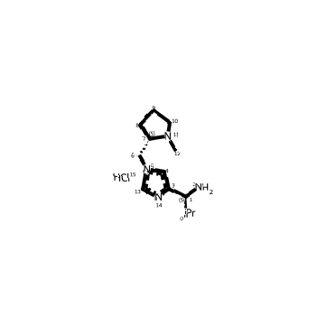 CC(C)[C@H](N)c1cn(C[C@@H]2CCCN2C)cn1.Cl